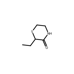 CCC1SCCNC1=O